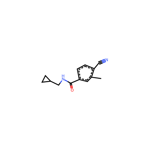 Cc1cc(C(=O)NCC2CC2)ccc1C#N